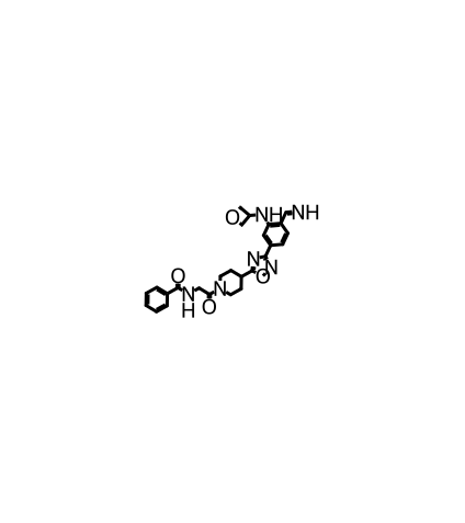 N=Cc1ccc(-c2noc(C3CCN(C(=O)CNC(=O)c4ccccc4)CC3)n2)cc1NC1COC1